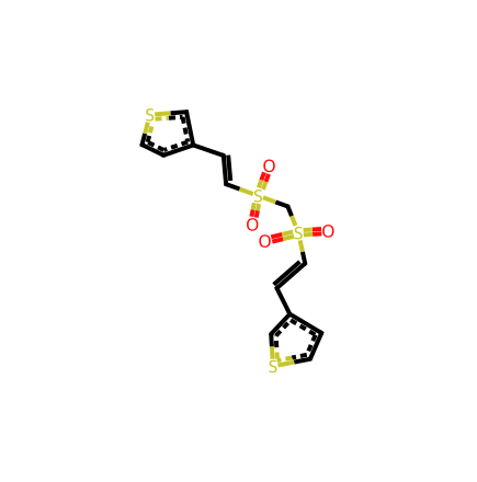 O=S(=O)(C=Cc1ccsc1)CS(=O)(=O)/C=C/c1ccsc1